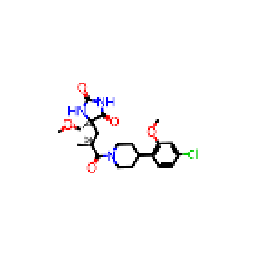 COC[C@]1(C[C@H](C)C(=O)N2CCC(c3ccc(Cl)cc3OC)CC2)NC(=O)NC1=O